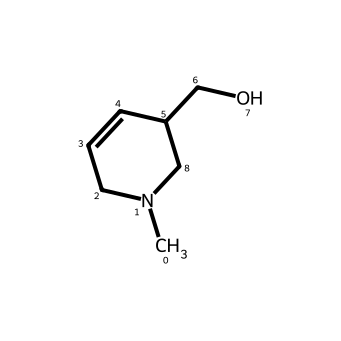 CN1CC=CC(CO)C1